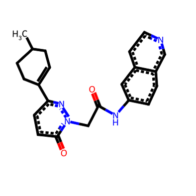 CC1CC=C(c2ccc(=O)n(CC(=O)Nc3ccc4cnccc4c3)n2)CC1